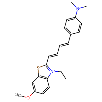 CC[n+]1c(/C=C/C=C/c2ccc(N(C)C)cc2)sc2cc(O[11CH3])ccc21